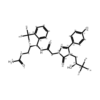 NC(=O)OCC[C@H](NC(=O)Cn1nc(-c2ccc(Cl)cc2)n(C[C@H](O)C(F)(F)F)c1=O)c1ccccc1C(F)(F)F